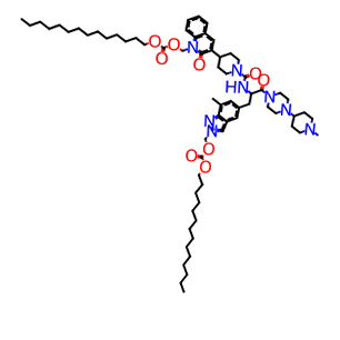 CCCCCCCCCCCCCCOC(=O)OCn1cc2cc(CC(NC(=O)N3CCC(c4cc5ccccc5n(COC(=O)OCCCCCCCCCCCCCC)c4=O)CC3)C(=O)N3CCN(C4CCN(C)CC4)CC3)cc(C)c2n1